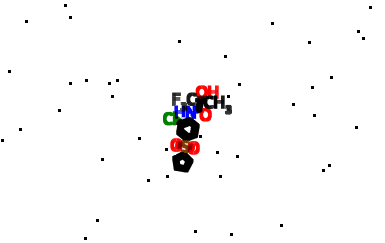 C[C@@](O)(C(=O)Nc1ccc(S(=O)(=O)C2CCCC2)cc1Cl)C(F)(F)F